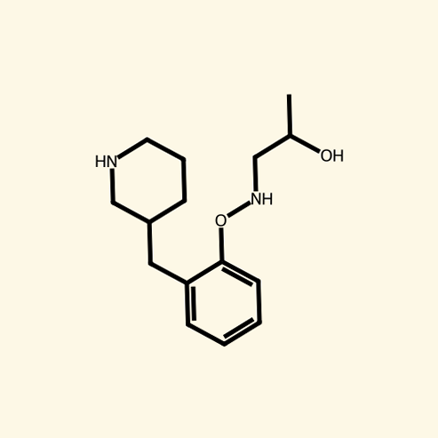 CC(O)CNOc1ccccc1CC1CCCNC1